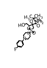 CC(C)(C)OC(CCO)(CS(=O)(=O)N1CCN(c2ccc(F)cc2)CC1)C(N)=O